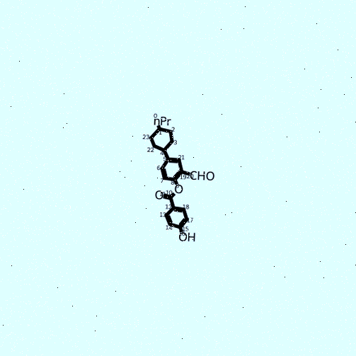 CCCC1CCC(c2ccc(OC(=O)c3ccc(O)cc3)c(C=O)c2)CC1